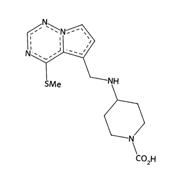 CSc1ncnn2ccc(CNC3CCN(C(=O)O)CC3)c12